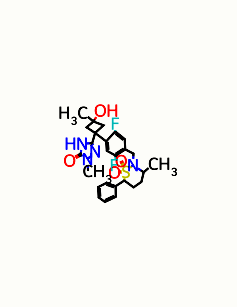 CC1CCC(c2ccccc2)S(=O)(=O)N1Cc1cc(F)c(C2(c3nn(C)c(=O)[nH]3)CC(C)(O)C2)cc1F